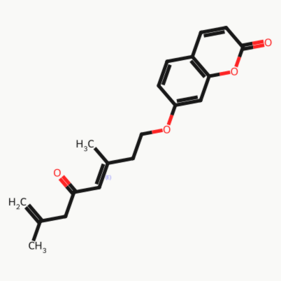 C=C(C)CC(=O)/C=C(\C)CCOc1ccc2ccc(=O)oc2c1